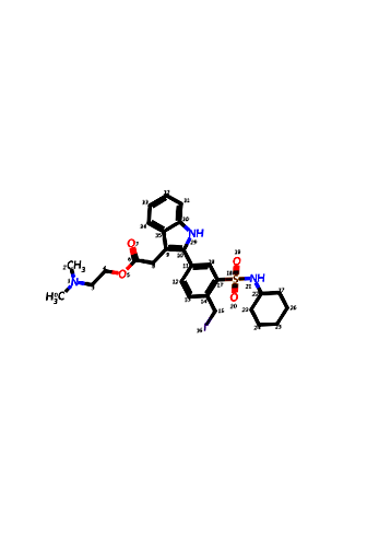 CN(C)CCOC(=O)Cc1c(-c2ccc(CI)c(S(=O)(=O)NC3CCCCC3)c2)[nH]c2ccccc12